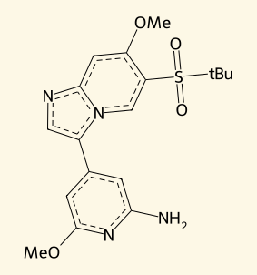 COc1cc(-c2cnc3cc(OC)c(S(=O)(=O)C(C)(C)C)cn23)cc(N)n1